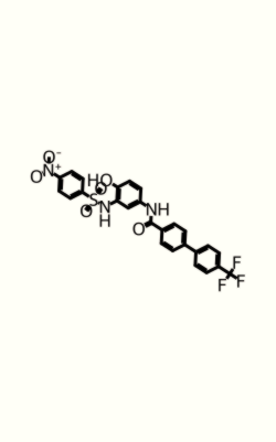 O=C(Nc1ccc(O)c(NS(=O)(=O)c2ccc([N+](=O)[O-])cc2)c1)c1ccc(-c2ccc(C(F)(F)F)cc2)cc1